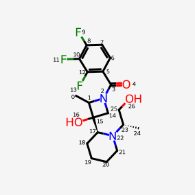 CC1N(C(=O)c2ccc(F)c(F)c2F)CC1(O)[C@@H]1CCCCN1[C@@H](C)CO